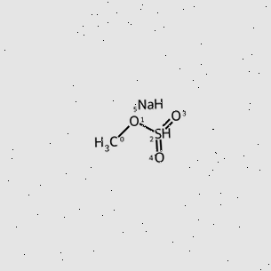 CO[SH](=O)=O.[NaH]